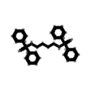 O=P(OCCCCOP(=O)(c1ccccc1)c1ccccc1)(c1ccccc1)c1ccccc1